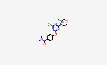 C[C@H]1COCCN1c1nc(Cl)nc(Oc2ccc(C(=O)N(C)C)cc2)n1